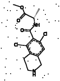 COC(=O)[C@H](C)NC(=O)c1c(Cl)cc2c(c1Cl)CCNC2